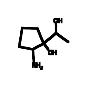 CC(O)C1(O)CCCC1N